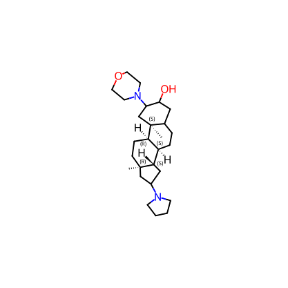 C[C@]12CC[C@@H]3[C@@H](CCC4CC(O)C(N5CCOCC5)C[C@@]43C)[C@@H]1CC(N1CCCC1)C2